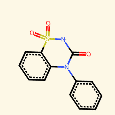 O=C1[N]S(=O)(=O)c2ccccc2N1c1ccccc1